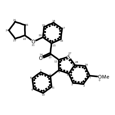 COc1ccc2c(-c3ccccc3)c(C(=O)c3ccccc3OC3CCCC3)sc2c1